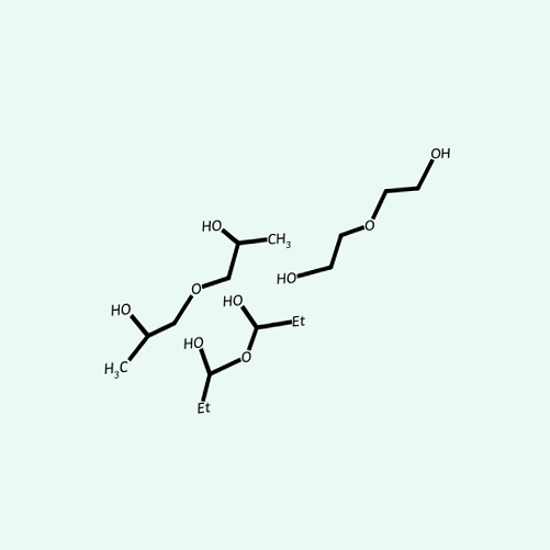 CC(O)COCC(C)O.CCC(O)OC(O)CC.OCCOCCO